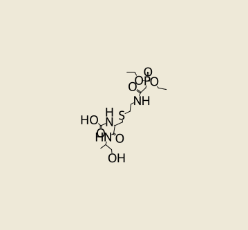 CCOP(=O)(CC(=O)NCCSCC(NC(=O)O)C(=O)NC(C)CO)OCC